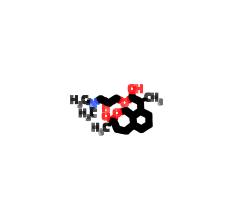 C[C@@H](C(O)OCCCN(C)C)C1CCCC2CC[C@@](C)(O)OCC21